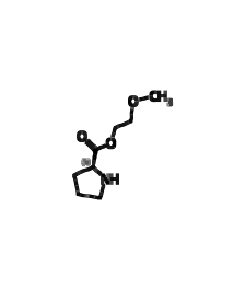 COCCOC(=O)[C@@H]1CCCN1